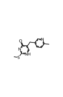 CSc1nc(=O)c(Cc2ccc(C)nc2)c[nH]1